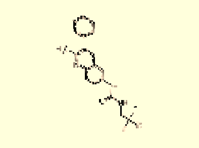 CCC(F)(F)CNC(=O)Nc1ccc2nc(C)c(-c3ccccc3)cc2c1